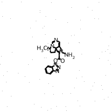 CN1CCC23C=C(C(=O)On4nnc5ccccc54)N(N)CC2=CN=CN13